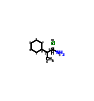 CC(C1CCCCC1)[SiH](N)Cl